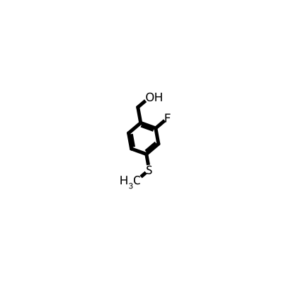 CSc1ccc(CO)c(F)c1